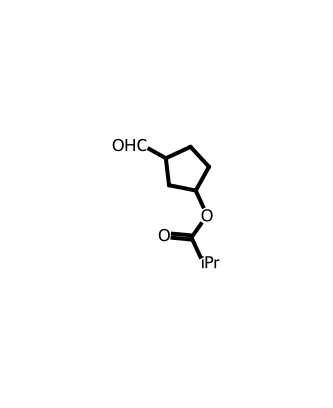 CC(C)C(=O)OC1CCC(C=O)C1